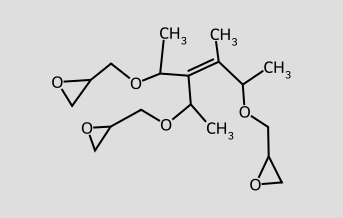 CC(=C(C(C)OCC1CO1)C(C)OCC1CO1)C(C)OCC1CO1